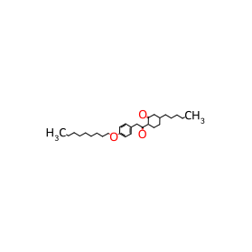 CCCCCCCCCOc1ccc(CC(=O)C2CCC(CCCCC)CC2=O)cc1